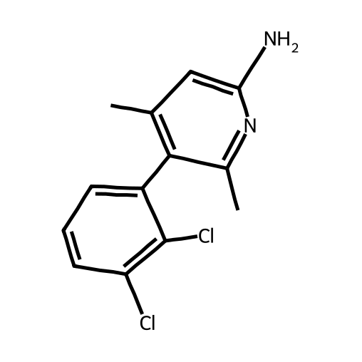 Cc1cc(N)nc(C)c1-c1cccc(Cl)c1Cl